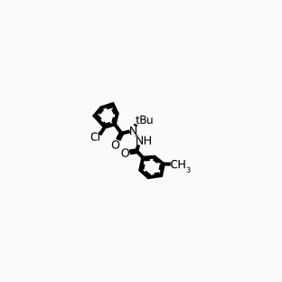 Cc1cccc(C(=O)NN(C(=O)c2ccccc2Cl)C(C)(C)C)c1